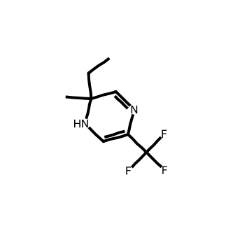 CCC1(C)C=NC(C(F)(F)F)=CN1